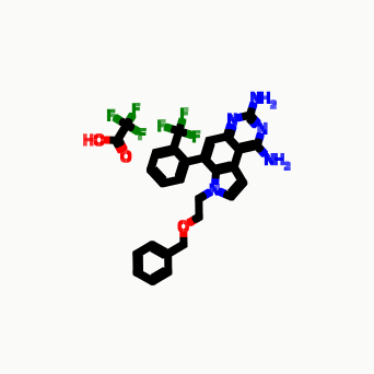 Nc1nc(N)c2c(cc(-c3ccccc3C(F)(F)F)c3c2ccn3CCOCc2ccccc2)n1.O=C(O)C(F)(F)F